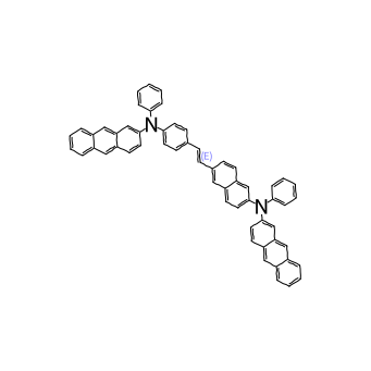 C(=C\c1ccc2cc(N(c3ccccc3)c3ccc4cc5ccccc5cc4c3)ccc2c1)/c1ccc(N(c2ccccc2)c2ccc3cc4ccccc4cc3c2)cc1